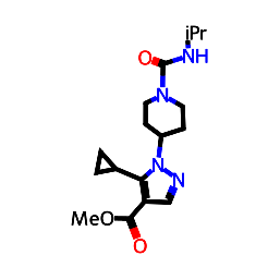 COC(=O)c1cnn(C2CCN(C(=O)NC(C)C)CC2)c1C1CC1